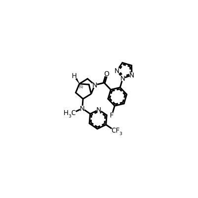 CN(c1ccc(C(F)(F)F)cn1)C1C[C@H]2CC1N(C(=O)c1cc(F)ccc1-n1nccn1)C2